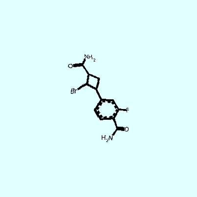 NC(=O)c1ccc(C2CC(C(N)=O)C2Br)cc1F